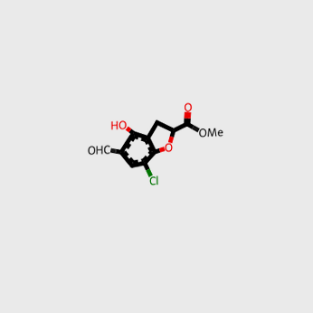 COC(=O)C1Cc2c(O)c(C=O)cc(Cl)c2O1